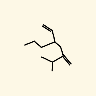 C=CC([CH]C(=C)C(C)C)CCC